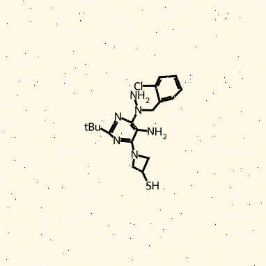 CC(C)(C)c1nc(N(N)Cc2ccccc2Cl)c(N)c(N2CC(S)C2)n1